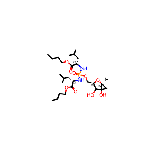 CCCCOC(=O)[C@H](CC(C)C)NP(=O)(N[C@@H](CC(C)C)C(=O)OCCCC)OC[C@H]1O[C@H]2CC2(O)C1O